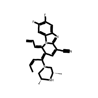 C=C/C=c1/c(=C(\C=C/C)N2C[C@@H](C)N[C@@H](C)C2)cc(C#N)c2nc3cc(F)c(F)cc3n12